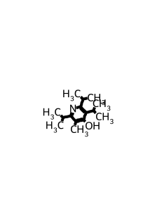 Cc1c(C(C)C)nc(C(C)C)c(C(C)C)c1O